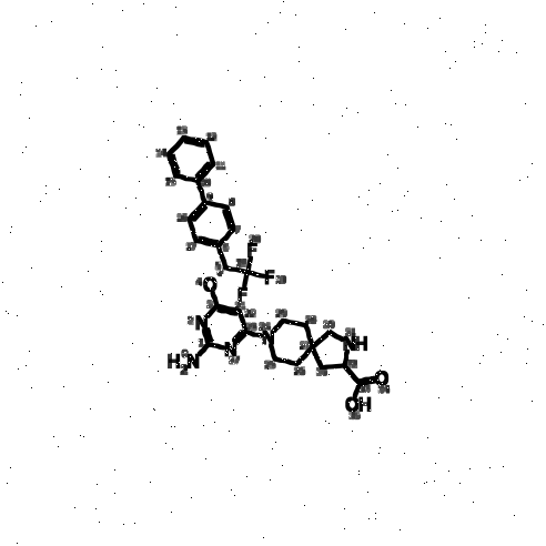 Nc1nc(O[C@H](c2ccc(-c3ccccc3)cc2)C(F)(F)F)cc(N2CCC3(CC2)CNC(C(=O)O)C3)n1